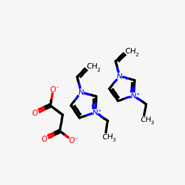 C=Cn1cc[n+](CC)c1.C=Cn1cc[n+](CC)c1.O=C([O-])CC(=O)[O-]